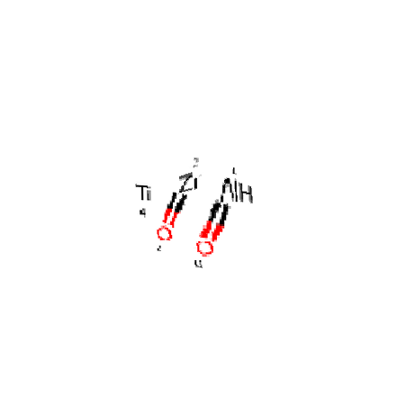 [O]=[AlH].[O]=[Zr].[Ti]